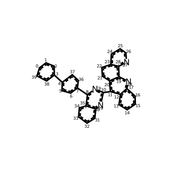 c1ccc(-c2ccc(-c3nc(-c4c5ccccc5nc5c4ccc4cccnc45)nc4ccccc34)cc2)cc1